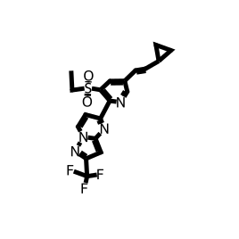 CCS(=O)(=O)c1cc(/C=C/C2CC2)cnc1-c1ccn2nc(C(F)(F)F)cc2n1